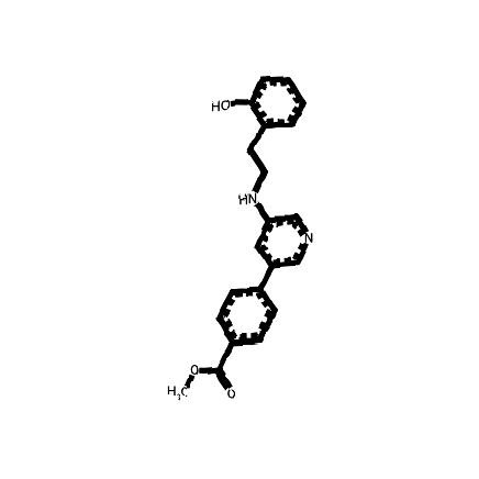 COC(=O)c1ccc(-c2cncc(NCCc3ccccc3O)c2)cc1